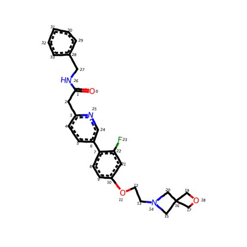 O=C(Cc1ccc(-c2ccc(OCCN3CC4(COC4)C3)cc2F)cn1)NCc1ccccc1